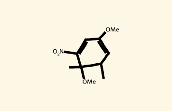 COC1=CC(C)C(C)(OC)C([N+](=O)[O-])=C1